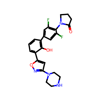 O=C1CCCN1c1c(F)cc(-c2cccc(-c3cc(N4CCNCC4)no3)c2O)cc1F